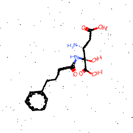 N[C@H](CC(=O)O)[C@@](O)(NC(=O)CCCc1ccccc1)C(=O)O